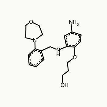 Nc1ccc(OCCCO)c(NCc2ccccc2N2CCOCC2)c1